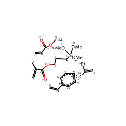 C=C(C)C(=O)OCCC[Si](OC)(OC)OC.C=C(CC)C(=O)O.C=CC(=O)OCCCC.C=Cc1ccccc1